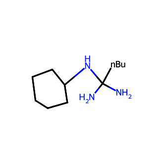 CCCCC(N)(N)NC1CCCCC1